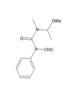 COC(C)N(C)C(=O)N([C]=O)c1ccccc1